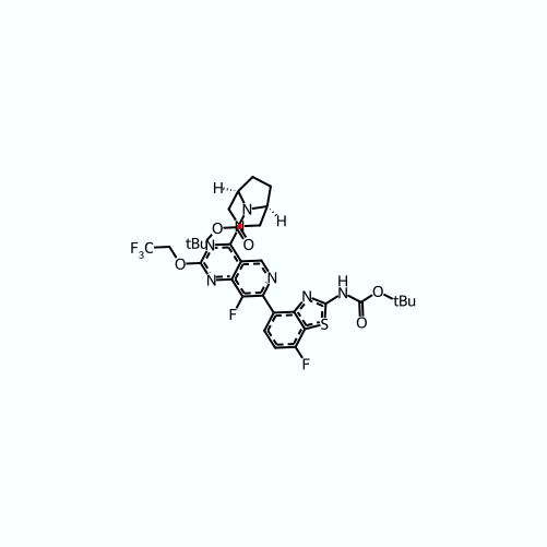 CC(C)(C)OC(=O)Nc1nc2c(-c3ncc4c(N5C[C@H]6CC[C@@H](C5)N6C(=O)OC(C)(C)C)nc(OCC(F)(F)F)nc4c3F)ccc(F)c2s1